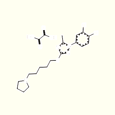 Cc1nc(SCCCCCN2CCCC2)nn1-c1ccc(Cl)c(Cl)c1.O=C(O)C(=O)O